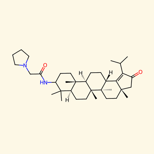 CC(C)C1=C2[C@H]3CC[C@@H]4[C@@]5(C)CCC(NC(=O)CN6CCCC6)C(C)(C)[C@@H]5CC[C@@]4(C)[C@]3(C)CC[C@@]2(C)CC1=O